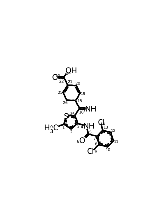 Cc1cc(NC(=O)c2c(Cl)cccc2Cl)c(C(=N)C2C=CC(C(=O)O)=CC2)s1